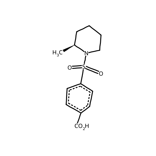 C[C@H]1CCCCN1S(=O)(=O)c1ccc(C(=O)O)cc1